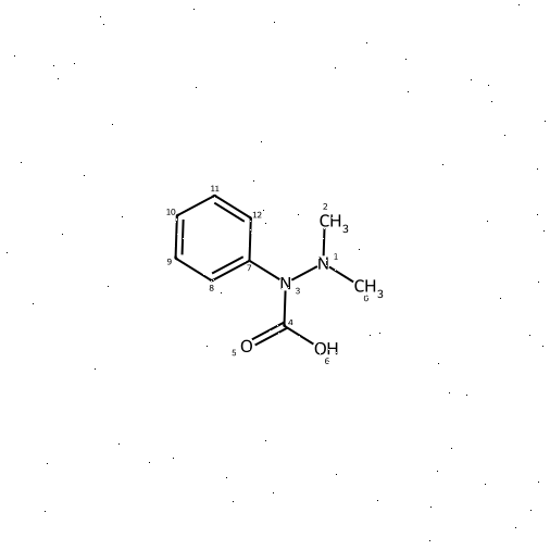 CN(C)N(C(=O)O)c1ccccc1